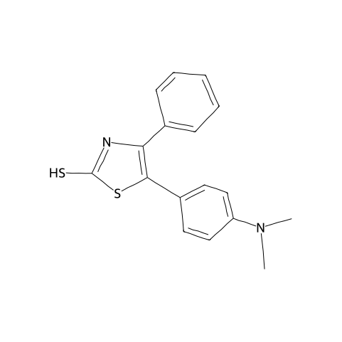 CN(C)c1ccc(-c2sc(S)nc2-c2ccccc2)cc1